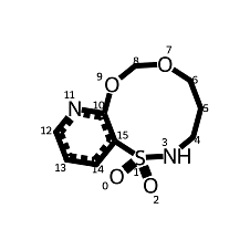 O=S1(=O)NCCCOCOc2ncccc21